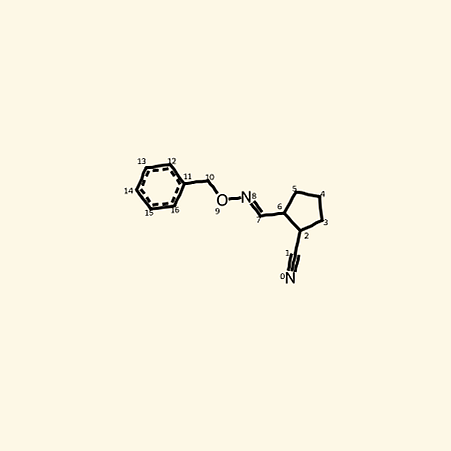 N#CC1CCCC1/C=N/OCc1ccccc1